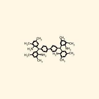 Cc1cc(C)c(N)c(C(c2ccc(-c3ccc(C(c4cc(C)cc(C)c4N)c4cc(C)cc(C)c4N)cc3)cc2)c2cc(C)cc(C)c2N)c1